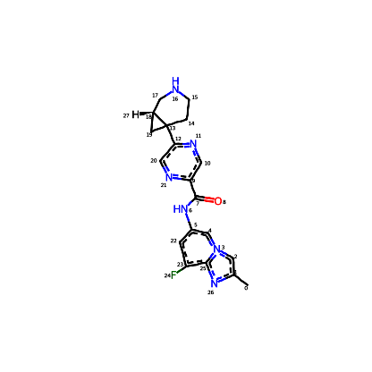 Cc1cn2cc(NC(=O)c3cnc(C45CCNC[C@H]4C5)cn3)cc(F)c2n1